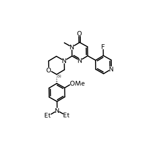 CCN(CC)c1ccc([C@H]2CN(c3nc(-c4ccncc4F)cc(=O)n3C)CCO2)c(OC)c1